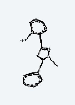 CN1N=C(c2ccccc2O)CC1c1nccs1